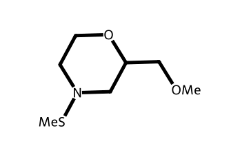 COCC1CN(SC)CCO1